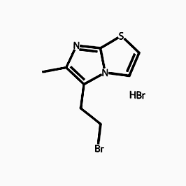 Br.Cc1nc2sccn2c1CCBr